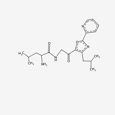 CC(C)Cc1nc(-c2ccccn2)oc1C(=O)CNC(=O)C(N)CC(C)C